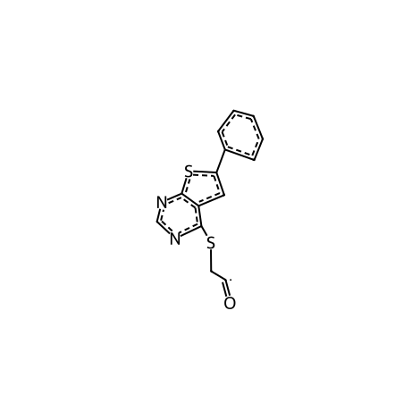 O=[C]CSc1ncnc2sc(-c3ccccc3)cc12